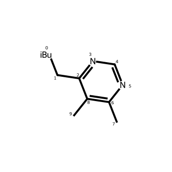 CCC(C)Cc1ncnc(C)c1C